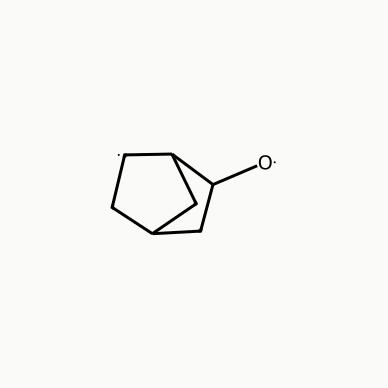 [O]C1CC2C[CH]C1C2